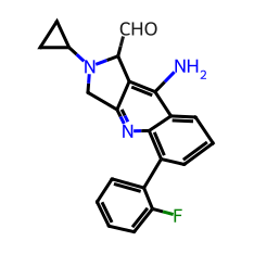 Nc1c2c(nc3c(-c4ccccc4F)cccc13)CN(C1CC1)C2C=O